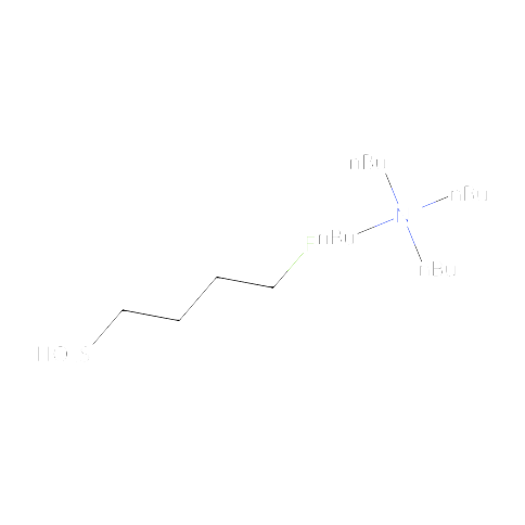 CCCC[N+](CCCC)(CCCC)CCCC.O=S(=O)(O)CCCCF